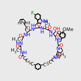 CCCCC/C=C\CCCC[C@@H]1NC(=O)[C@@H](C)NC(=O)[C@H](C)NC(=O)CCSCc2cccc(c2)CSCCNC(=O)[C@]2(C)CCCN2C(=O)[C@H](Cc2ccc(OC)cc2)NC(=O)[C@H]([C@@H](C)O)NC(=O)[C@H](C)NC(=O)[C@H](Cc2c[nH]c3ccc(F)cc23)NC1=O